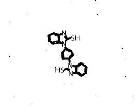 Sc1nc2ccccc2n1-c1ccc(-n2c(S)nc3ccccc32)cc1